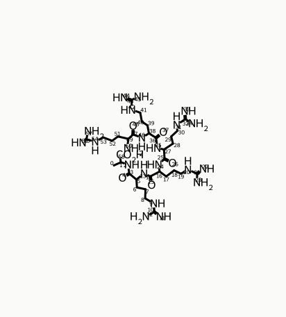 CC(NC(=O)C(CCCNC(=N)N)NC(=O)C(CCCNC(=N)N)NC(=O)C(CCCNC(=N)N)NC(=O)C(CCCNC(=N)N)NC(=O)C(N)CCCNC(=N)N)C(=O)O